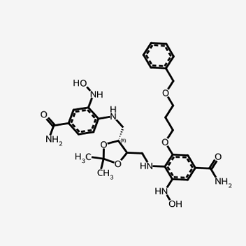 CC1(C)OC(CNc2c(NO)cc(C(N)=O)cc2OCCCOCc2ccccc2)[C@@H](CNc2ccc(C(N)=O)cc2NO)O1